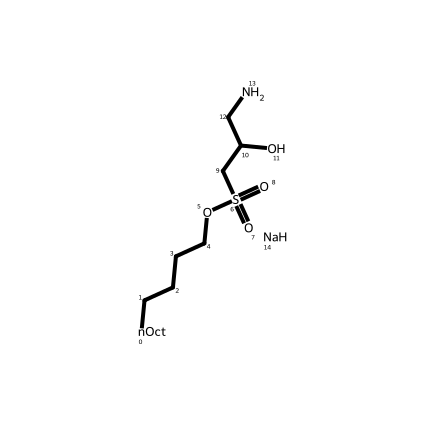 CCCCCCCCCCCCOS(=O)(=O)CC(O)CN.[NaH]